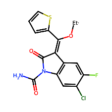 C[CH]OC(=C1C(=O)N(C(N)=O)c2cc(Cl)c(F)cc21)c1cccs1